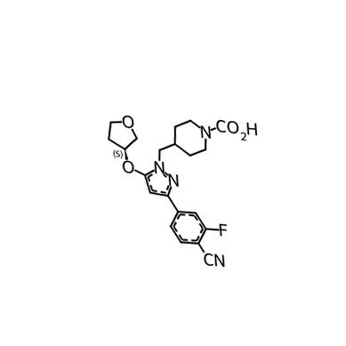 N#Cc1ccc(-c2cc(O[C@H]3CCOC3)n(CC3CCN(C(=O)O)CC3)n2)cc1F